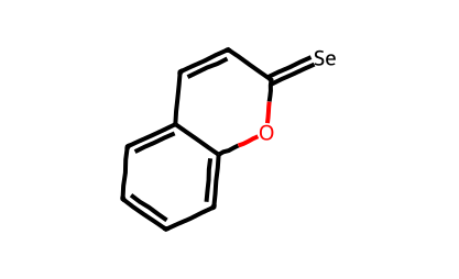 [Se]=c1ccc2ccccc2o1